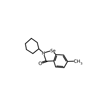 Cc1ccc2c(=O)n(C3CCCCC3)[se]c2c1